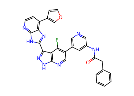 O=C(Cc1ccccc1)Nc1cncc(-c2cnc3[nH]nc(-c4nc5c(-c6ccoc6)ccnc5[nH]4)c3c2F)c1